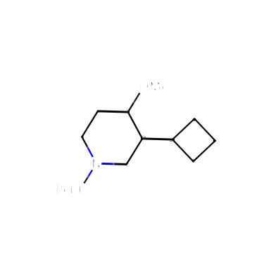 CCCC(C)N1CCC(OC)C(C2CCC2)C1